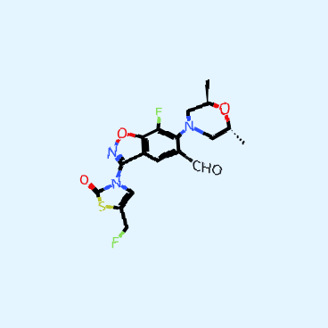 C[C@@H]1CN(c2c(C=O)cc3c(-n4cc(CF)sc4=O)noc3c2F)C[C@@H](C)O1